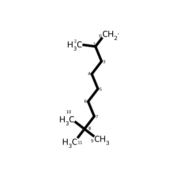 [CH2]C(C)CCCCCC(C)(C)C